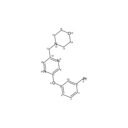 CC(C)c1cccc(Oc2cnc(CN3CCOCC3)cn2)c1